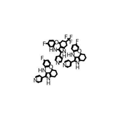 O=C1CC(C(F)(F)F)Cc2[nH]c(-c3ccncc3)c(Nc3cccc(F)c3)c21.O=C1CCCc2[nH]c(-c3ccncc3)c(Nc3ccc(F)cc3)c21.O=C1CCCc2[nH]c(-c3ccncc3)c(Nc3cccc(F)c3)c21